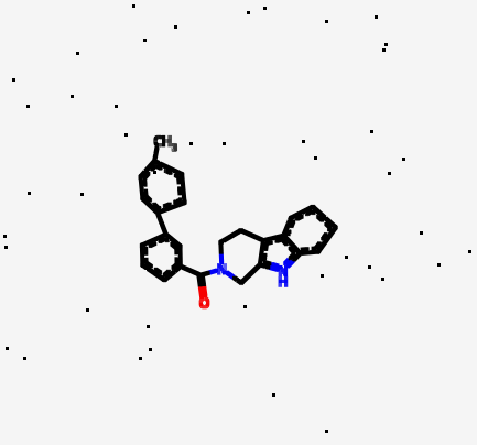 Cc1ccc(-c2cccc(C(=O)N3CCc4c([nH]c5ccccc45)C3)c2)cc1